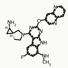 CNc1cc(F)cc2c1[nH]c1nc(Oc3cnc4cccnc4c3)nc(N3CC[C@@]4(C[C@H]4N)C3)c12